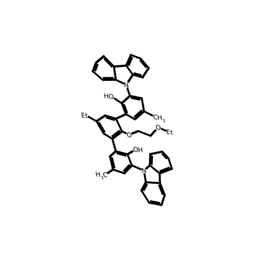 CCOCCOc1c(-c2cc(C)cc(-n3c4ccccc4c4ccccc43)c2O)cc(CC)cc1-c1cc(C)cc(-n2c3ccccc3c3ccccc32)c1O